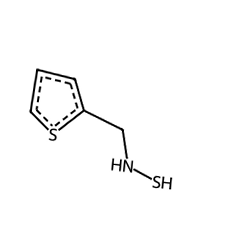 SNCc1cccs1